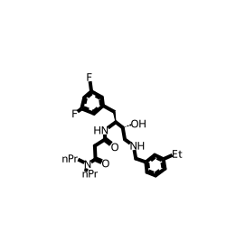 CCCN(CCC)C(=O)CC(=O)N[C@@H](Cc1cc(F)cc(F)c1)[C@H](O)CNCc1cccc(CC)c1